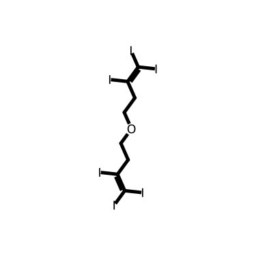 IC(I)=C(I)CCOCCC(I)=C(I)I